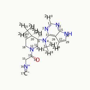 [2H]c1nc(N(C([2H])([2H])[2H])[C@@]2([2H])CN(C(=O)C[N+]#[C-])CC[C@@]2([2H])C([2H])([2H])[2H])c2c([2H])c[nH]c2n1